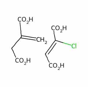 C=C(CC(=O)O)C(=O)O.O=C(O)C=C(Cl)C(=O)O